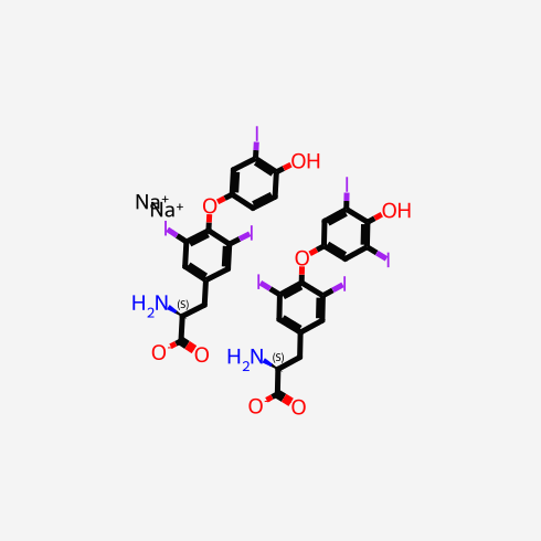 N[C@@H](Cc1cc(I)c(Oc2cc(I)c(O)c(I)c2)c(I)c1)C(=O)[O-].N[C@@H](Cc1cc(I)c(Oc2ccc(O)c(I)c2)c(I)c1)C(=O)[O-].[Na+].[Na+]